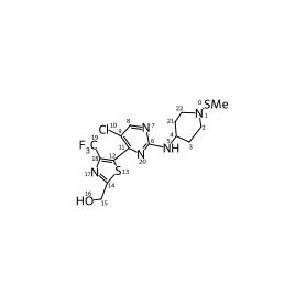 CSN1CCC(Nc2ncc(Cl)c(-c3sc(CO)nc3C(F)(F)F)n2)CC1